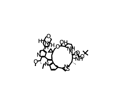 CCn1c(-c2cc([C@@H]3C[C@H]4COC[C@@H](C3)N4)cnc2[C@H](C)OC)c2c3cc(ccc31)-c1csc(n1)[C@@H](C)[C@H](NC(=O)OC(C)(C)C)C(=O)N1CCC[C@H](N1)C(=O)OCC1(CC1)C2